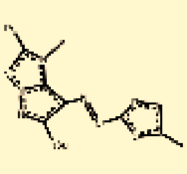 Cc1cnc(/N=N/c2c(C(C)(C)C)nn3nc(C(C)C)n(C)c23)o1